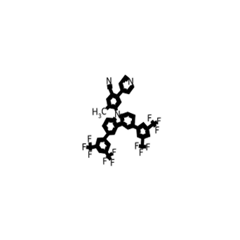 Cc1cc(C#N)c(-c2ccncc2)cc1-n1c2ccc(-c3cc(C(F)(F)F)cc(C(F)(F)F)c3)cc2c2cc(-c3cc(C(F)(F)F)cc(C(F)(F)F)c3)ccc21